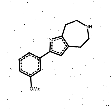 COc1cccc(-c2cc3c(s2)CCNCC3)c1